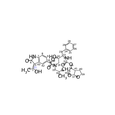 C/C(O)=C1\C(=O)Nc2ccc(S(=O)(=O)N(CC(C)C)CC(O)C(Cc3ccccc3)NC(=O)OC3COC4OCCC34)cc21